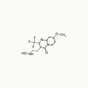 COc1ccn2c(=O)c(CCNO)c(C(F)(F)F)nc2c1